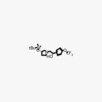 CC(C)(C)[Si](C)(C)O[C@H]1CCN(C[C@@H](O)c2ccc(OC(F)(F)F)cc2)C1